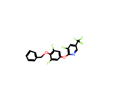 Fc1cc(C(F)(F)F)cnc1Oc1cc(F)c(OCc2ccccc2)c(F)c1